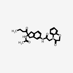 CCCC(=O)C1(NC(C)=O)Cc2ccc(NC(=O)CN3C(=O)COc4ccccc43)cc2C1